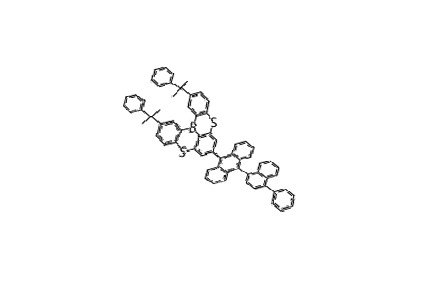 CC(C)(c1ccccc1)c1ccc2c(c1)B1c3cc(C(C)(C)c4ccccc4)ccc3Sc3cc(-c4c5ccccc5c(-c5ccc(-c6ccccc6)c6ccccc56)c5ccccc45)cc(c31)S2